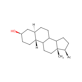 CC(=O)[C@@H]1CCC2C3CC[C@@H]4C[C@H](O)CC[C@H]4C3CC[C@]21C